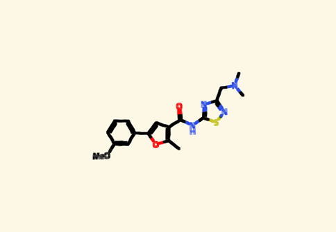 COc1cccc(-c2cc(C(=O)Nc3nc(CN(C)C)ns3)c(C)o2)c1